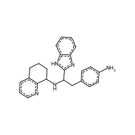 Nc1ccc(CC(NC2CCCc3cccnc32)c2nc3ccccc3[nH]2)cc1